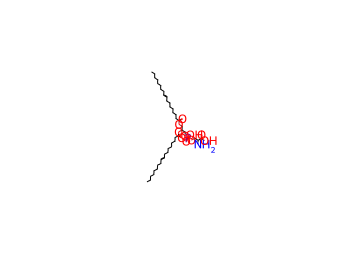 CCCCCCCCC=CCCCCCCCC(=O)OCC(COP(=O)(O)OCC(N)C(=O)O)OC(=O)CCCCCCCC=CCCCCCCCC